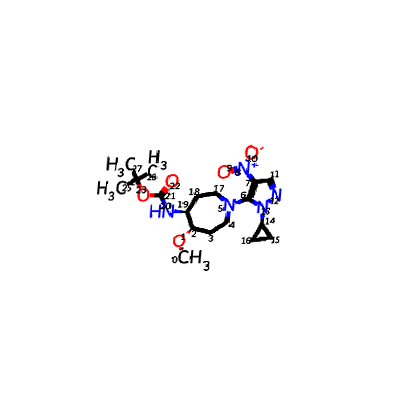 CO[C@H]1CCN(c2c([N+](=O)[O-])cnn2C2CC2)CC[C@@H]1NC(=O)OC(C)(C)C